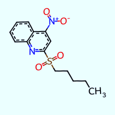 CCCCCS(=O)(=O)c1cc([N+](=O)[O-])c2ccccc2n1